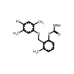 CCc1cc(C)c(OCc2c(C)cccc2SC(=O)NC)cc1C